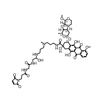 COc1cccc2c1C(=O)c1c(O)c3c(c(O)c1C2=O)C[C@@](O)(C(=O)NCCCN(C)CCCNC(O)CNC(=O)CNC(=O)CCN1C(=O)C=CC1=O)C[C@@H]3O[C@H]1C[C@H]2[C@H](O[C@@H]3[C@@H](OC)OCCN32)[C@H](C)O1